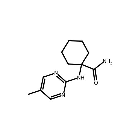 Cc1cnc(NC2(C(N)=O)CCCCC2)nc1